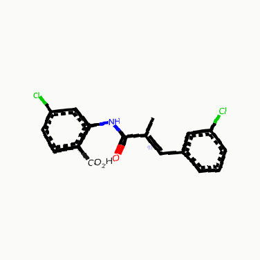 C/C(=C\c1cccc(Cl)c1)C(=O)Nc1cc(Cl)ccc1C(=O)O